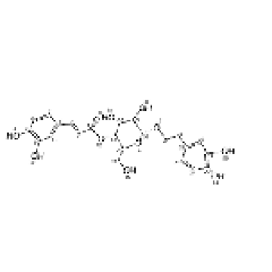 O=C(/C=C/c1ccc(O)c(O)c1)O[C@H]1C(CO)O[C@@H](OCCc2ccc(O)c(O)c2)C(O)[C@H]1O